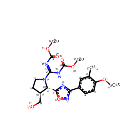 CCCCCCCCOc1ccc(-c2noc([C@@H]3[C@@H](CO)CCN3/C(=N/C(=O)OC(C)(C)C)NC(=O)OC(C)(C)C)n2)cc1C